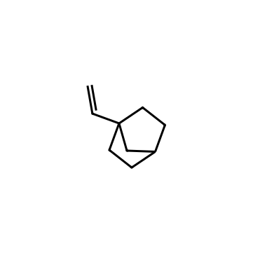 C=CC12CCC(CC1)C2